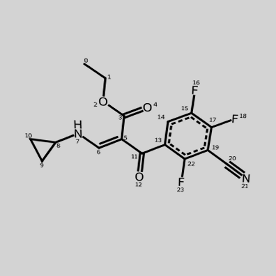 CCOC(=O)C(=CNC1CC1)C(=O)c1cc(F)c(F)c(C#N)c1F